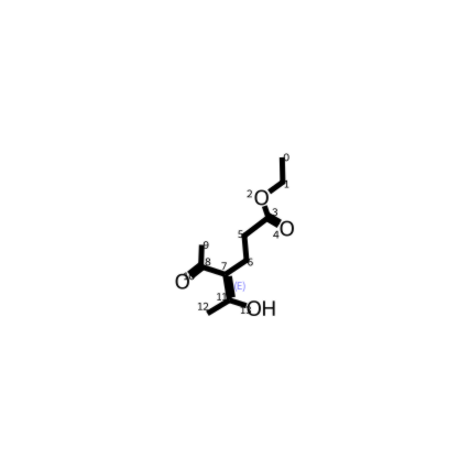 CCOC(=O)CC/C(C(C)=O)=C(/C)O